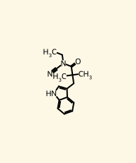 CCN(C#N)C(=O)C(C)(C)Cc1c[nH]c2ccccc12